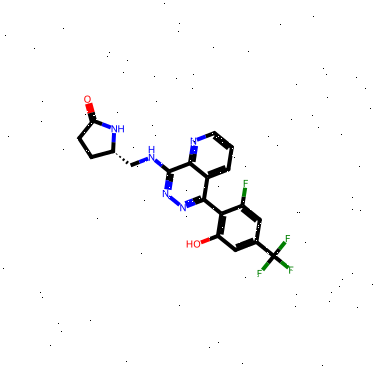 O=C1CC[C@@H](CNc2nnc(-c3c(O)cc(C(F)(F)F)cc3F)c3cccnc23)N1